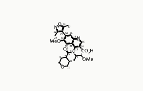 COCC(C)N(C(=O)C1CCOCC1)c1c(C(=O)O)cnc2cc(-c3c(C)noc3C)c(OC)cc12